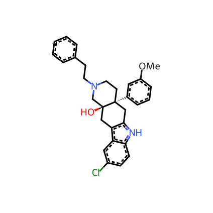 COc1cccc([C@@]23CCN(CCc4ccccc4)C[C@@]2(O)Cc2c([nH]c4ccc(Cl)cc24)C3)c1